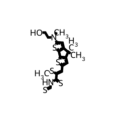 CS/C(=C\c1cc2c(s1)-c1sc(N(C)CCO)cc1C2(C)C)C(=S)NC=S